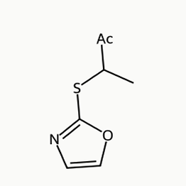 CC(=O)C(C)Sc1ncco1